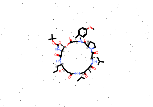 CC[C@H](C)[C@H]1NC(=O)[C@@H](NC(=O)OC(C)(C)C)[C@@H](C)OC(=O)[C@H](Cc2ccc(OC)cc2)N(C)C(=O)[C@@H]2CCCN2C(=O)[C@H](CC(C)C)NC(=O)[C@@H](C)C(=O)[C@H](C(C)C)NC(=O)C[C@@H]1O